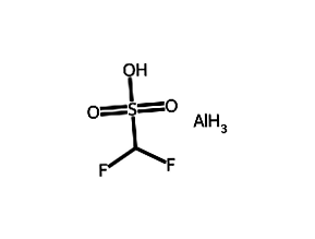 O=S(=O)(O)C(F)F.[AlH3]